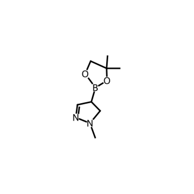 CN1CC(B2OCC(C)(C)O2)C=N1